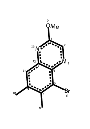 COc1cnc2c(Br)c(C)c(C)cc2n1